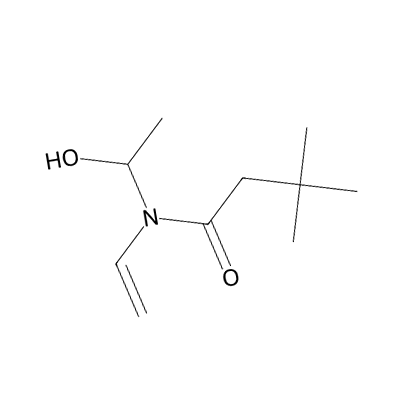 C=CN(C(=O)CC(C)(C)C)C(C)O